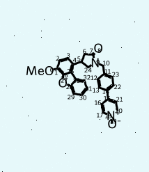 COc1ccc(C2CC(=O)N(Cc3ccc(-c4cc[n+]([O-])cc4)cc3)C2)c2c1oc1ccccc12